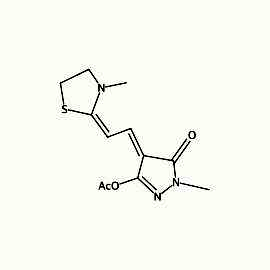 CC(=O)OC1=NN(C)C(=O)/C1=C/C=C1/SCCN1C